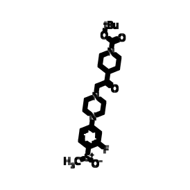 C[S+]([O-])c1ccc(N2CCN(CC(=O)C3CCN(C(=O)OC(C)(C)C)CC3)CC2)cc1F